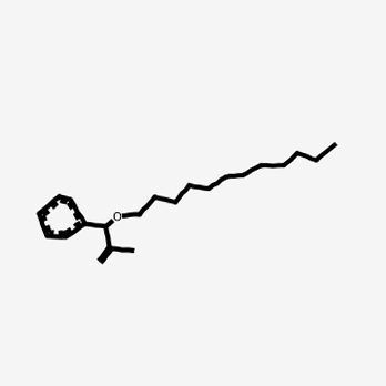 C=C(C)C(OCCCCCCCCCCCC)c1ccccc1